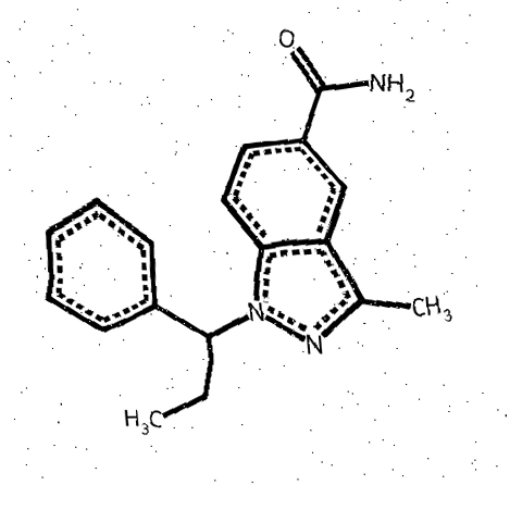 CCC(c1ccccc1)n1nc(C)c2cc(C(N)=O)ccc21